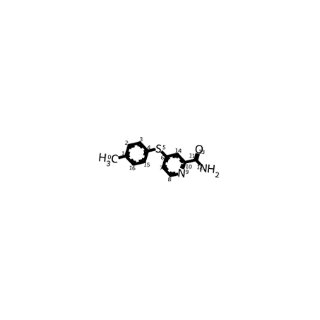 Cc1ccc(Sc2ccnc(C(N)=O)c2)cc1